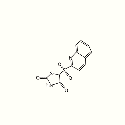 O=C1NC(=O)C(S(=O)(=O)c2ccc3ccccc3n2)S1